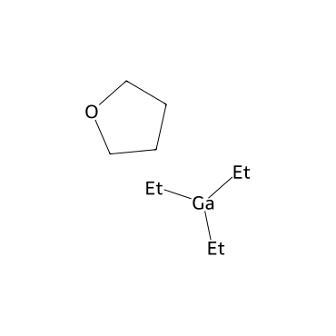 C1CCOC1.C[CH2][Ga]([CH2]C)[CH2]C